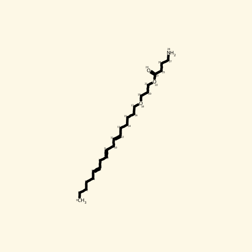 CCCCCC=CCC=CCC=CCCCCCOCCCOC(=O)CCCN